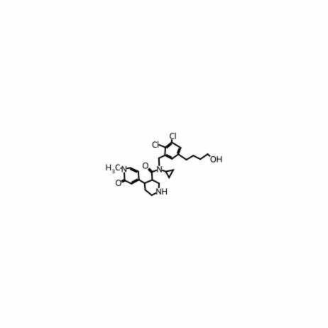 Cn1ccc(C2CCNCC2C(=O)N(Cc2cc(CCCCO)cc(Cl)c2Cl)C2CC2)cc1=O